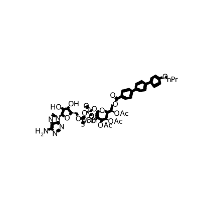 CCCOc1ccc(-c2ccc(-c3ccc(C(=O)OC[C@@H](OC(C)=O)C4O[C@@H](OP(=O)(O)OP(O)(=S)OC[C@H]5O[C@@H](n6cnc7c(N)ncnc76)C(O)C5O)C(OC(C)=O)C(OC(C)=O)[C@@H]4OC(C)=O)cc3)cc2)cc1